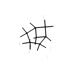 [Li+].[O-]C12C(F)(F)C(F)(C(F)(F)C(F)(F)C1(F)C(F)(F)F)C2(C(F)(F)F)C(F)(F)F